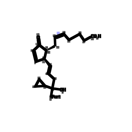 CCCCCC(O)(CC=C[C@H]1C=CC(=O)[C@@H]1C/C=C\CCCC(=O)O)C1CC1